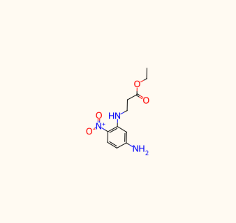 CCOC(=O)CCNc1cc(N)ccc1[N+](=O)[O-]